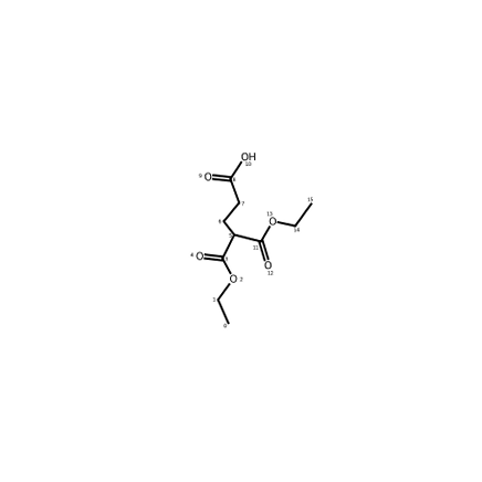 CCOC(=O)C(CCC(=O)O)C(=O)OCC